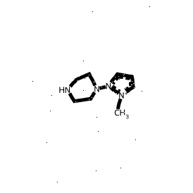 C[n+]1cccn1N1CCNCC1